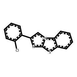 Clc1ccccc1-c1cn2c(n1)sc1ccccc12